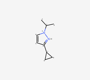 CC(C)n1ccc(C2CC2)n1